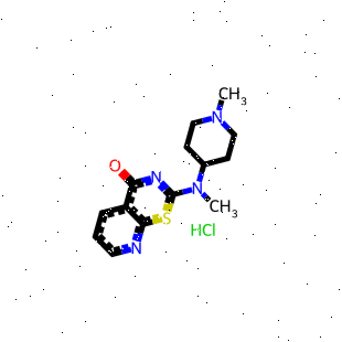 CN1CCC(N(C)c2nc(=O)c3cccnc3s2)CC1.Cl